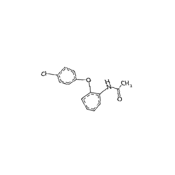 CC(=O)Nc1ccccc1Oc1ccc(Cl)cc1